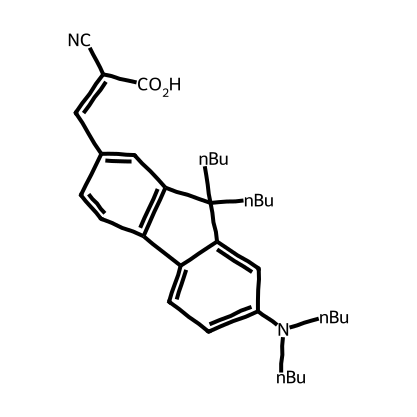 CCCCN(CCCC)c1ccc2c(c1)C(CCCC)(CCCC)c1cc(C=C(C#N)C(=O)O)ccc1-2